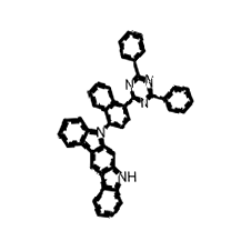 c1ccc(-c2nc(-c3ccccc3)nc(-c3ccc(-n4c5ccccc5c5cc6c(cc54)[nH]c4ccccc46)c4ccccc34)n2)cc1